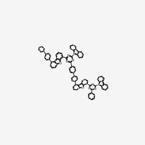 c1ccc(-c2ccc(-c3cccc4oc5c(-c6nc(-c7ccc(-c8ccc(-c9cccc%10oc%11c(-c%12nc(-c%13ccccc%13)nc(-n%13c%14ccccc%14c%14ccccc%14%13)n%12)cccc%11c9%10)cc8)cc7)nc(-n7c8ccccc8c8ccccc87)n6)cccc5c34)cc2)cc1